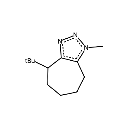 Cn1nnc2c1CCCCC2C(C)(C)C